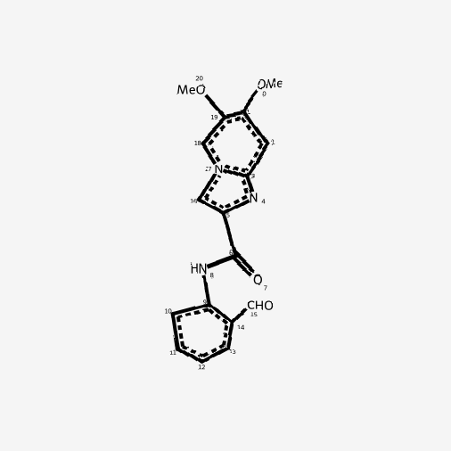 COc1cc2nc(C(=O)Nc3ccccc3C=O)cn2cc1OC